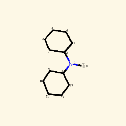 [Ti][N](C1CCCCC1)C1CCCCC1